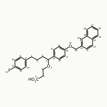 O=C(O)CCOC(CCCc1ccc(F)cc1)c1ccc(OCc2ccc3ccccc3n2)cc1